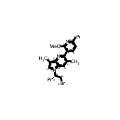 COc1nc(C(C)C)ccc1-c1nc2c(C)cn([C@H](CBr)C(C)C)c2cc1C